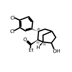 CCC(=O)[C@@H]1[C@@H]2CC(CC2O)C[C@H]1c1ccc(Cl)c(Cl)c1